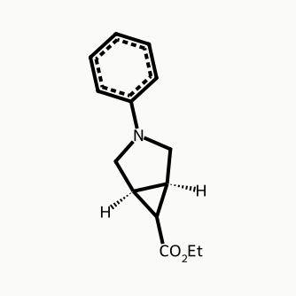 CCOC(=O)C1[C@H]2CN(c3ccccc3)C[C@@H]12